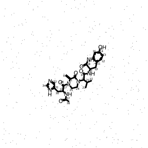 C=C1C(=O)N(C(C(=O)NC(Cc2ccc(O)cc2)C(N)=O)C(C)C)CCN1C(=O)C(Cc1cnc[nH]1)NC(C)=O